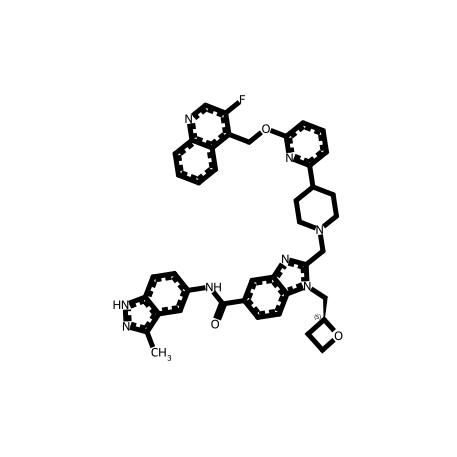 Cc1n[nH]c2ccc(NC(=O)c3ccc4c(c3)nc(CN3CCC(c5cccc(OCc6c(F)cnc7ccccc67)n5)CC3)n4C[C@@H]3CCO3)cc12